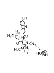 CC(C)C[C@H]1ON(C(=O)/C=C/c2nc3cc(O)ccc3s2)[C@H]2CN(C3CN(CCCCOP(=O)(O)O)C3)C(=O)[C@H](CC(C)(C)C)N2C1=O